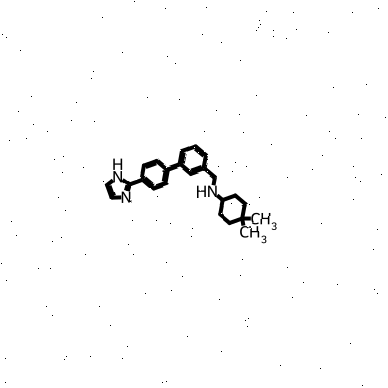 CC1(C)CCC(NCc2cccc(-c3ccc(-c4ncc[nH]4)cc3)c2)CC1